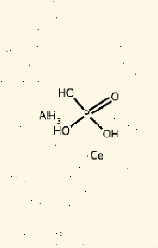 O=P(O)(O)O.[AlH3].[Ce]